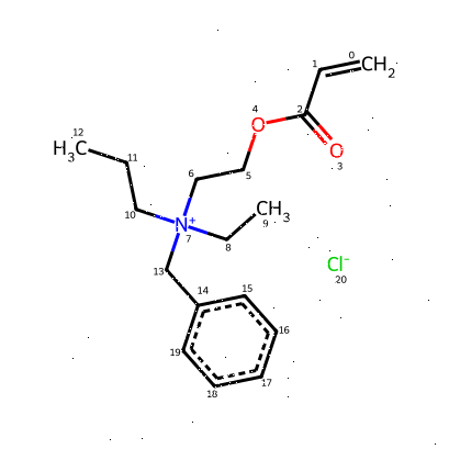 C=CC(=O)OCC[N+](CC)(CCC)Cc1ccccc1.[Cl-]